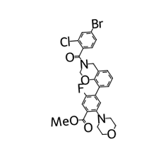 COC(=O)c1cc(F)c(-c2cccc3c2OCN(C(=O)c2ccc(Br)cc2Cl)C3)cc1N1CCOCC1